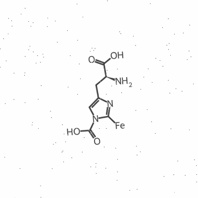 N[C@@H](Cc1cn(C(=O)O)[c]([Fe])n1)C(=O)O